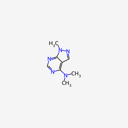 CN(C)c1ncnc2c1cnn2C